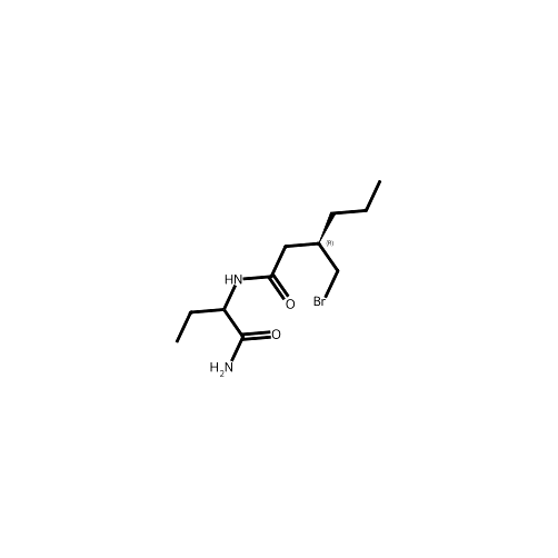 CCC[C@@H](CBr)CC(=O)NC(CC)C(N)=O